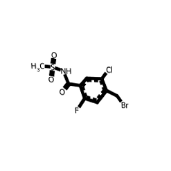 CS(=O)(=O)NC(=O)c1cc(Cl)c(CBr)cc1F